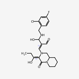 CC/C(O)=C1/C(=O)N2CCCCC2CN1/C=C(\C=O)C(O)NCc1ccc(F)cc1Cl